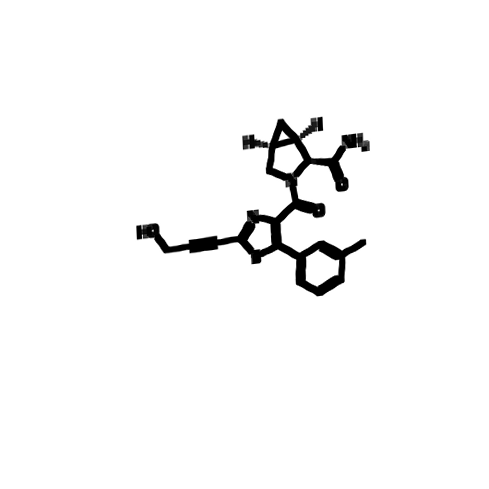 Cc1cccc(-c2sc(C#CCO)nc2C(=O)N2C[C@H]3C[C@H]3[C@H]2C(N)=O)c1